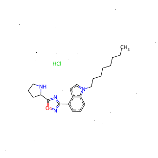 CCCCCCCCn1ccc2c(-c3noc(C4CCCN4)n3)cccc21.Cl